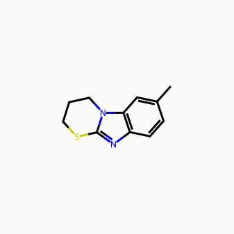 Cc1ccc2nc3n(c2c1)CCCS3